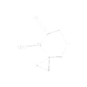 CC(C)(C)N1C(=O)COCC12CC2